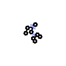 c1ccc(-c2cccc(-c3nc4ccccc4nc3-c3cccc(-n4c5ccc6ccccc6c5c5c6ccccc6ccc54)c3)c2)cc1